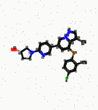 N#Cc1cc(F)ccc1Sc1cc(-c2ccc(N3CC[C@H](O)C3)nc2)cn2ncc(C#N)c12